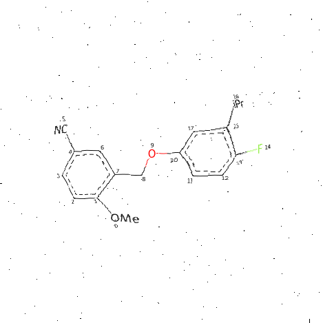 COc1ccc(C#N)cc1COc1ccc(F)c(C(C)C)c1